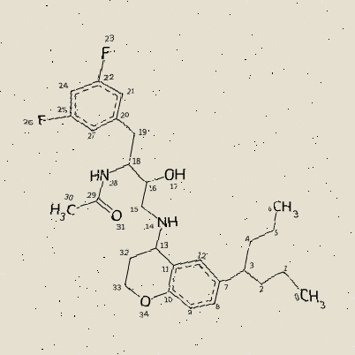 CCCC(CCC)c1ccc2c(c1)C(NCC(O)C(Cc1cc(F)cc(F)c1)NC(C)=O)CCO2